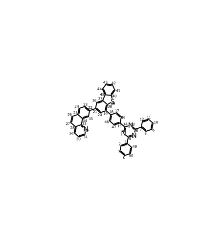 c1ccc(-c2nc(-c3ccccc3)nc(-c3ccc(-c4cc(-c5ccc6ccc7cccnc7c6c5)cc5c4sc4ccccc45)cc3)n2)cc1